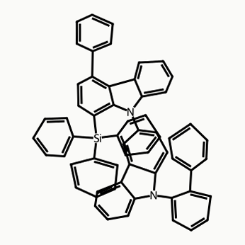 c1ccc(-c2ccccc2-n2c3ccccc3c3cc(-n4c5ccccc5c5c(-c6ccccc6)ccc([Si](c6ccccc6)(c6ccccc6)c6ccccc6)c54)ccc32)cc1